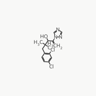 C=C(C(O)C(C)(C)Cc1ccc(Cl)cc1Cl)n1cncn1